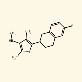 CBc1c(C)sc(N2CCc3cc(F)ccc3C2)c1C